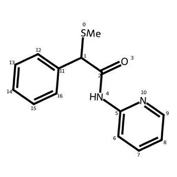 CSC(C(=O)Nc1ccccn1)c1ccccc1